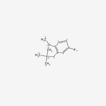 COc1ccc(F)cc1CC(C)(C)C